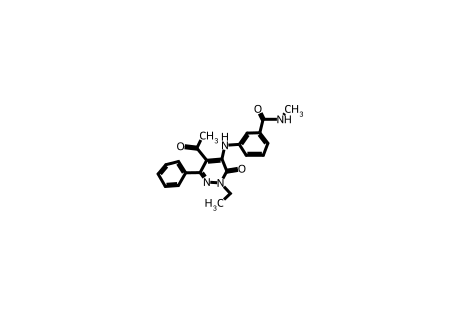 CCn1nc(-c2ccccc2)c(C(C)=O)c(Nc2cccc(C(=O)NC)c2)c1=O